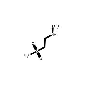 CS(=O)(=O)CCNC(=O)O